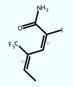 C/C=C(\C=C(\I)C(N)=O)C(F)(F)F